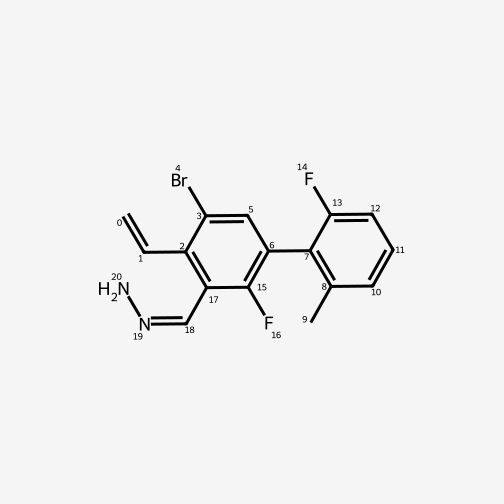 C=Cc1c(Br)cc(-c2c(C)cccc2F)c(F)c1/C=N\N